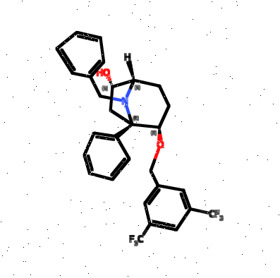 O[C@H]1C[C@@]2(c3ccccc3)[C@H](OCc3cc(C(F)(F)F)cc(C(F)(F)F)c3)CC[C@@H]1N2Cc1ccccc1